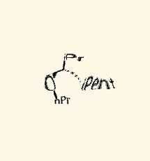 CCCOC(C(C)C)[C@@H](C)CCC